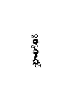 Cc1cc(/C=C/c2ccc(C(=O)Oc3ccc([N+](=O)[O-])cc3)nc2)cc(C)c1O